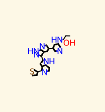 CCC(O)Nc1cncc(-c2cnc3[nH]nc(-c4cc5c(-c6ccsc6)nccc5[nH]4)c3c2)c1